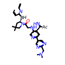 C=C/N=C(B[C@@H]1CC(C)(C)CN1C(=O)CNc1cnc(-c2cnc(CN(C)C)nc2)cc1C(=N)C(C)=O)\C=C/C